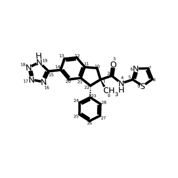 C[C@]1(C(=O)Nc2nccs2)Cc2ccc(-c3nnn[nH]3)cc2[C@H]1c1ccccc1